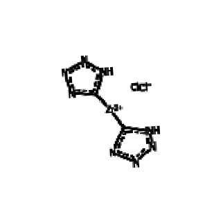 [Cl-].[Cl-].n1n[nH][c]([Zr+2][c]2nnn[nH]2)n1